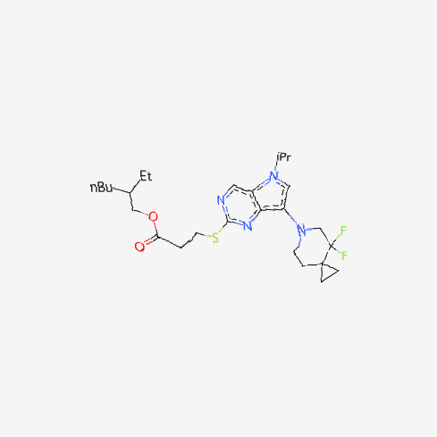 CCCCC(CC)COC(=O)CCSc1ncc2c(n1)c(N1CCC3(CC3)C(F)(F)C1)cn2C(C)C